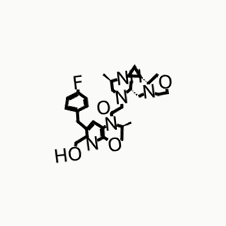 C[C@@H]1CN(CC(=O)N2c3cc(Cc4ccc(F)cc4)c(CO)nc3OC[C@@H]2C)[C@@H](CN2CCOC[C@H]2C2CC2)CN1